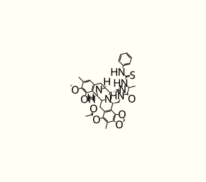 COc1c(C)cc2c(c1O)[C@@H]1C3Cc4c(OC(C)=O)c(C)c5c(c4[C@H](CNC(=O)C(C)NC(=S)Nc4ccccc4)N3[C@@H](C#N)[C@H](C2)N1C)OCO5